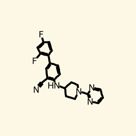 N#Cc1cc(-c2ccc(F)cc2F)ccc1NC1CCN(c2ncccn2)CC1